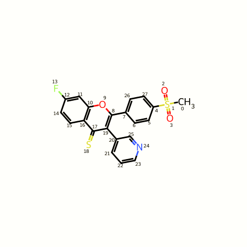 CS(=O)(=O)c1ccc(-c2oc3cc(F)ccc3c(=S)c2-c2cccnc2)cc1